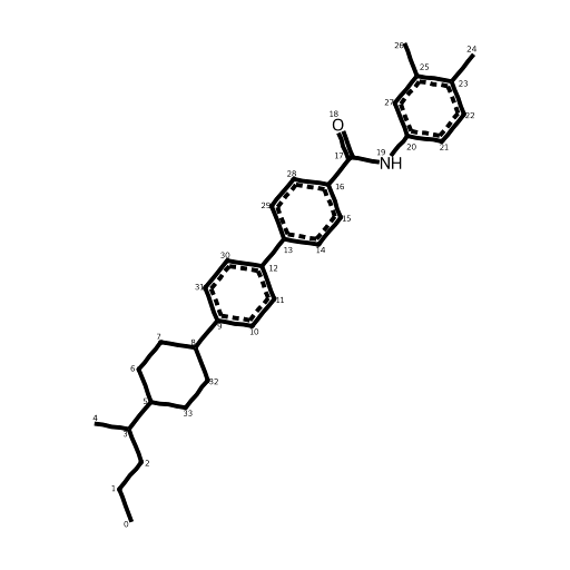 CCCC(C)C1CCC(c2ccc(-c3ccc(C(=O)Nc4ccc(C)c(C)c4)cc3)cc2)CC1